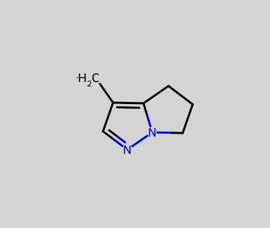 [CH2]c1cnn2c1CCC2